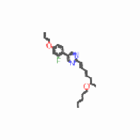 C=CCOc1ccc(-c2cnc(C=CCCCC(C)OCCCCC)nc2)c(F)c1